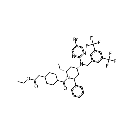 CCOC(=O)CC1CCC(C(=O)N2C(c3ccccc3)C[C@@H](N(Cc3cc(C(F)(F)F)cc(C(F)(F)F)c3)c3ncc(Br)cn3)C[C@H]2CC)CC1